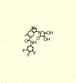 C[C@H]1Cn2ncc(N3C[C@@H](O)[C@@H](O)C3=O)c2CN1C(=O)Nc1cc(F)c(F)c(F)c1